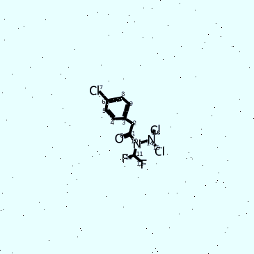 O=C(Cc1ccc(Cl)cc1)N(C(F)F)N(Cl)Cl